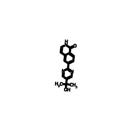 CC(C)(O)c1cnc(-c2ccc3c(=O)[nH]ccc3c2)nc1